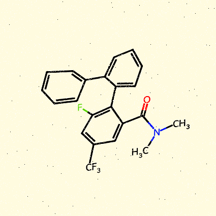 CN(C)C(=O)c1cc(C(F)(F)F)cc(F)c1-c1ccccc1-c1ccccc1